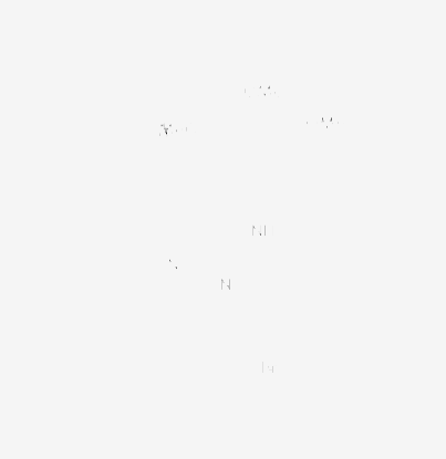 COc1cc(Nc2c(C=Cc3ccccc3)nc3ccc(Br)cn23)cc(OC)c1OC